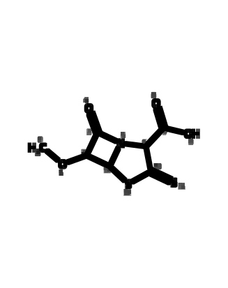 COC1C(=O)N2C(C(=O)O)C(=S)SC12